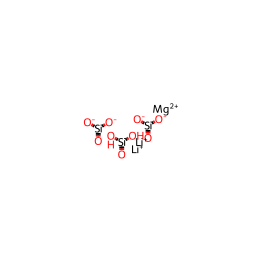 O=[Si](O)O.O=[Si]([O-])[O-].O=[Si]([O-])[O-].[Li+].[Li+].[Mg+2]